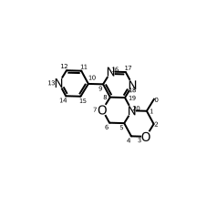 CC1COCC2COc3c(-c4ccncc4)ncnc3N12